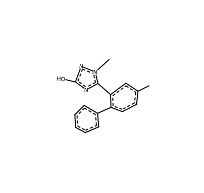 Cc1ccc(-c2ccccc2)c(-c2nc(O)nn2C)c1